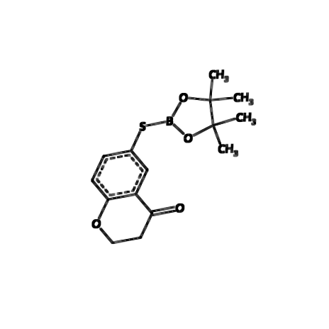 CC1(C)OB(Sc2ccc3c(c2)C(=O)CCO3)OC1(C)C